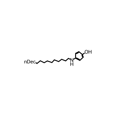 CCCCCCCCCCCCCCCCCCCCNc1ccc(O)cc1